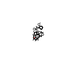 COc1ccccc1N(C)C(=O)O[C@H]1C(C)=CC23C(=O)[C@@H](C=C4COC(C)(C)O[C@H]4[C@]12O)C(C)(C)[C@@H](C)CC3C